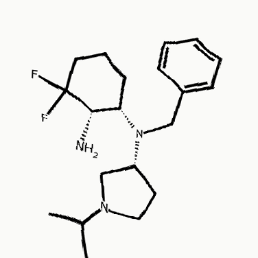 CC(C)N1CC[C@@H](N(Cc2ccccc2)[C@H]2CCCC(F)(F)[C@H]2N)C1